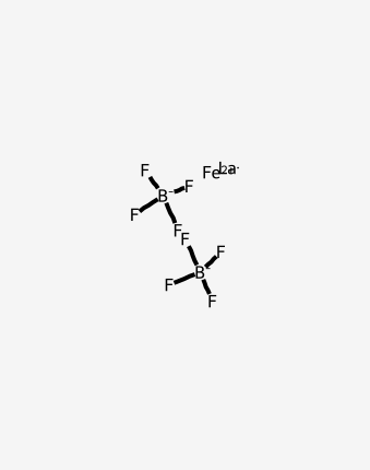 F[B-](F)(F)F.F[B-](F)(F)F.[Fe+2].[La]